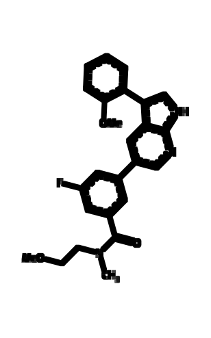 COCCN(C)C(=O)c1cc(F)cc(-c2cnc3[nH]cc(-c4ccccc4OC)c3c2)c1